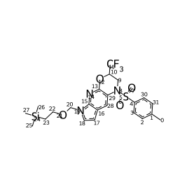 Cc1ccc(S(=O)(=O)N2CC(C(F)(F)F)Oc3nc4c(ccn4COCC[Si](C)(C)C)cc32)cc1